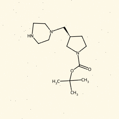 CC(C)(C)OC(=O)N1CC[C@H](CN2CCNCC2)C1